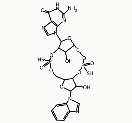 Nc1nc2c(ncn2C2OC3COP(=O)(S)OC4C(COP(=O)(S)OC2C3O)OC(n2cnc3ccccc32)C4O)c(=O)[nH]1